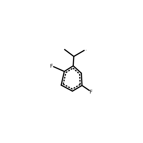 [CH2]C(C)c1cc(F)ccc1F